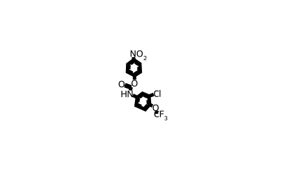 O=C(Nc1ccc(OC(F)(F)F)c(Cl)c1)Oc1ccc([N+](=O)[O-])cc1